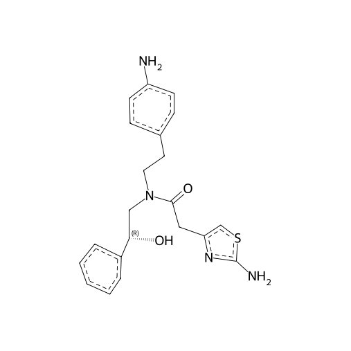 Nc1ccc(CCN(C[C@H](O)c2ccccc2)C(=O)Cc2csc(N)n2)cc1